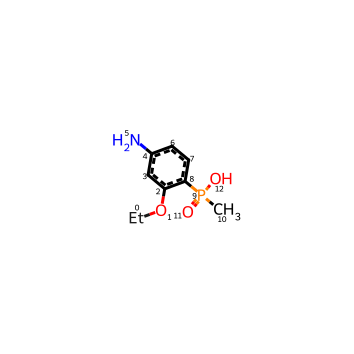 CCOc1cc(N)ccc1P(C)(=O)O